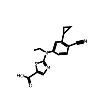 CCN(c1ccc(C#N)c(C2CC2)c1)c1ncc(C(=O)O)s1